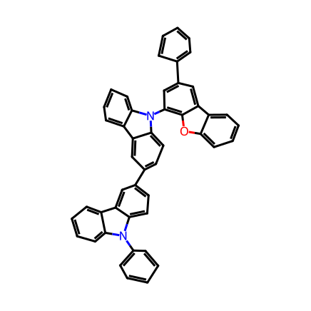 c1ccc(-c2cc(-n3c4ccccc4c4cc(-c5ccc6c(c5)c5ccccc5n6-c5ccccc5)ccc43)c3oc4ccccc4c3c2)cc1